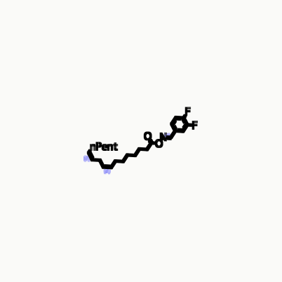 CCCCC/C=C\C/C=C\CCCCCCC(=O)O/N=C/c1ccc(F)c(F)c1